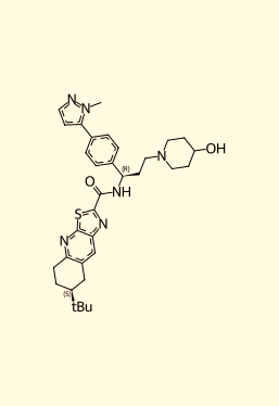 Cn1nccc1-c1ccc([C@@H](CCN2CCC(O)CC2)NC(=O)c2nc3cc4c(nc3s2)CC[C@H](C(C)(C)C)C4)cc1